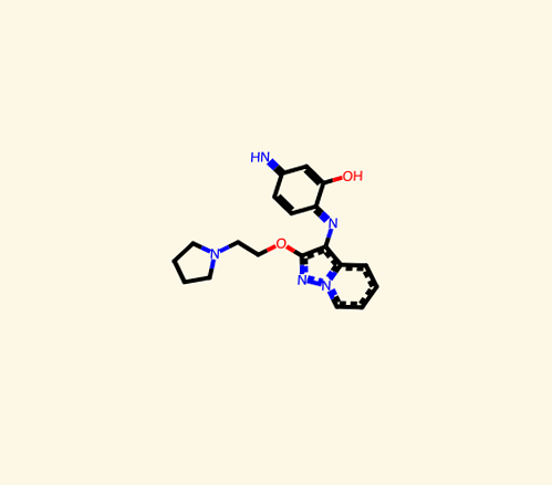 N=C1C=C/C(=N\c2c(OCCN3CCCC3)nn3ccccc23)C(O)=C1